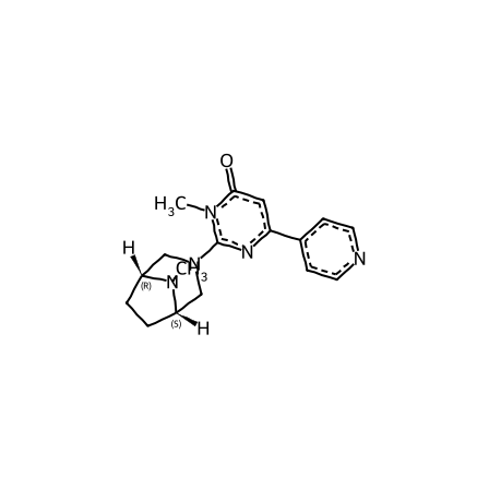 CN1[C@@H]2CC[C@H]1CN(c1nc(-c3ccncc3)cc(=O)n1C)C2